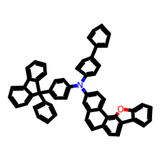 c1ccc(-c2ccc(N(c3ccc(C4(c5ccccc5)c5ccccc5-c5ccccc54)cc3)c3ccc4c(ccc5ccc6c7ccccc7oc6c54)c3)cc2)cc1